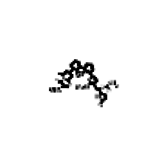 COc1nc(-c2cccc(-c3cccc(-c4cc(C)n5c(=O)c(C=O)cnc5c4)c3Cl)c2Cl)ccc1CC(OC(N)=O)C1CCC(=O)N1